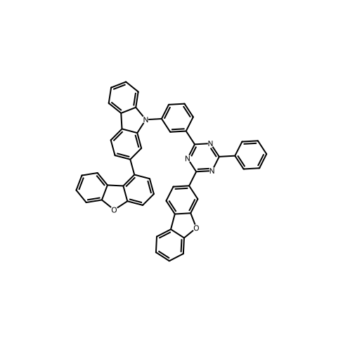 c1ccc(-c2nc(-c3cccc(-n4c5ccccc5c5ccc(-c6cccc7oc8ccccc8c67)cc54)c3)nc(-c3ccc4c(c3)oc3ccccc34)n2)cc1